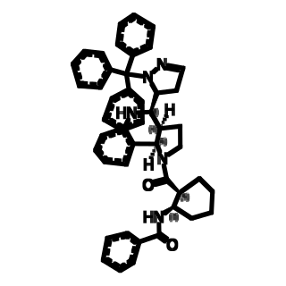 O=C(N[C@@H]1CCCC[C@@H]1C(=O)N1CC[C@@H]2[C@H](C3CC=NN3C(c3ccccc3)(c3ccccc3)c3ccccc3)Nc3ccccc3[C@@H]21)c1ccccc1